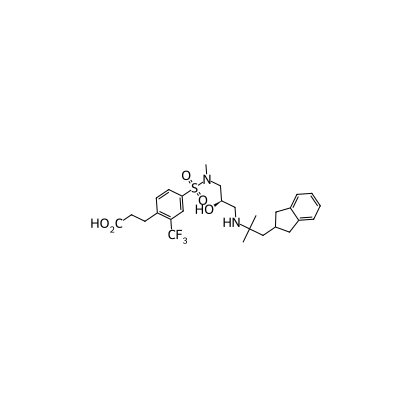 CN(C[C@H](O)CNC(C)(C)CC1Cc2ccccc2C1)S(=O)(=O)c1ccc(CCC(=O)O)c(C(F)(F)F)c1